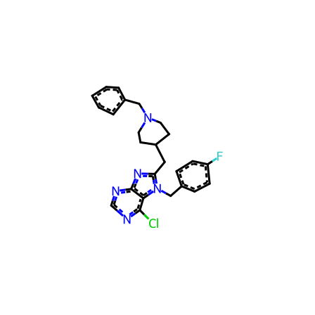 Fc1ccc(Cn2c(CC3CCN(Cc4ccccc4)CC3)nc3ncnc(Cl)c32)cc1